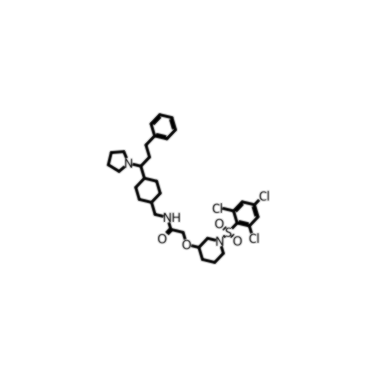 O=C(COC1CCCN(S(=O)(=O)c2c(Cl)cc(Cl)cc2Cl)C1)NCC1CCC(C(CCc2ccccc2)N2CCCC2)CC1